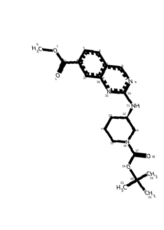 COC(=O)c1ccc2cnc(N[C@@H]3CCCN(C(=O)OC(C)(C)C)C3)nc2c1